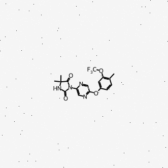 Cc1ccc(Oc2cnc(N3C(=O)NC(C)(C)C3=O)cn2)cc1OC(F)(F)F